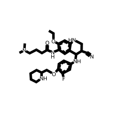 CCOc1cc2c(cc1NC(=O)CCCN(C)C)C(Nc1ccc(OCC3CCCCN3)c(F)c1)C(C#N)CN2